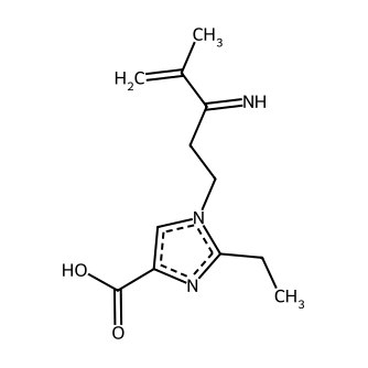 C=C(C)C(=N)CCn1cc(C(=O)O)nc1CC